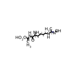 C/C(=N\O)NCCCC[C@H](N)C(=O)N[C@@H](C)C(=O)O